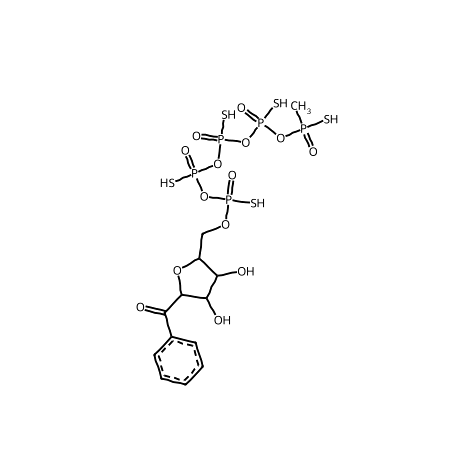 CP(=O)(S)OP(=O)(S)OP(=O)(S)OP(=O)(S)OP(=O)(S)OCC1OC(C(=O)c2ccccc2)C(O)C1O